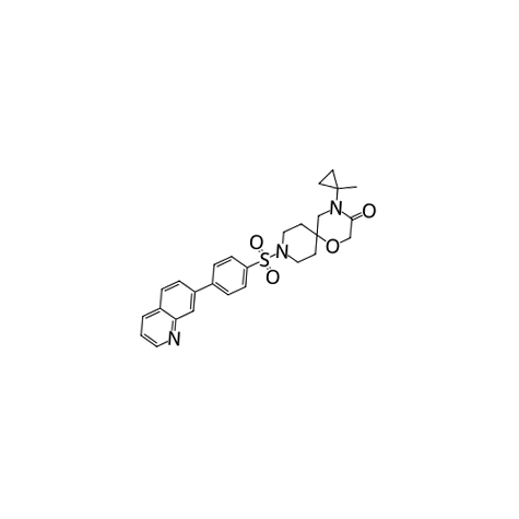 CC1(N2CC3(CCN(S(=O)(=O)c4ccc(-c5ccc6cccnc6c5)cc4)CC3)OCC2=O)CC1